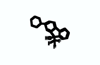 OC1(C(F)(F)F)c2ccccc2-c2ccc(C3CCCCC3)cc21